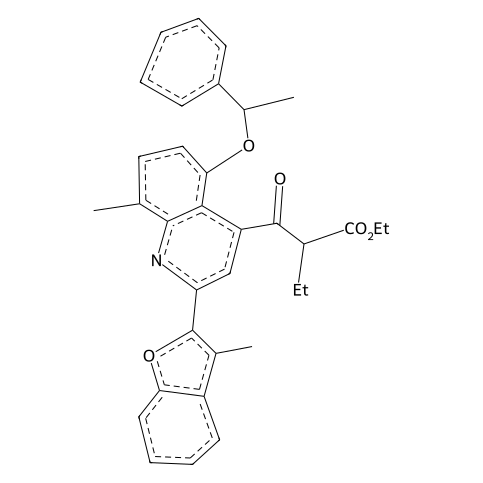 CCOC(=O)C(CC)C(=O)c1cc(-c2oc3ccccc3c2C)nc2c(C)ccc(OC(C)c3ccccc3)c12